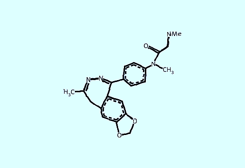 CNCC(=O)N(C)c1ccc(C2=NN=C(C)Cc3cc4c(cc32)OCO4)cc1